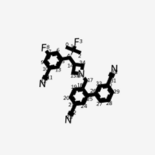 CC(C)(F)[C@@H](c1cc(F)cc(C#N)c1)C1CN(Cc2ccc(C#N)cc2-c2cccc(C#N)c2)C1